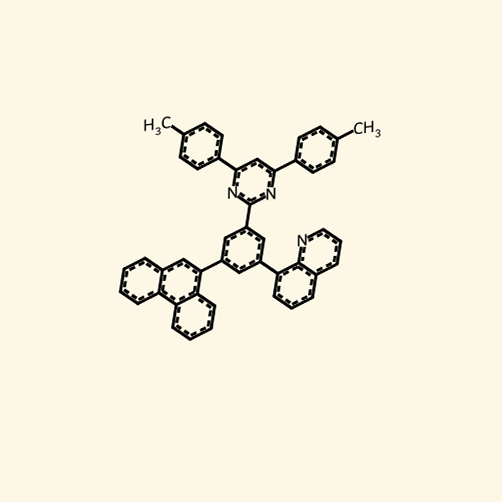 Cc1ccc(-c2cc(-c3ccc(C)cc3)nc(-c3cc(-c4cc5ccccc5c5ccccc45)cc(-c4cccc5cccnc45)c3)n2)cc1